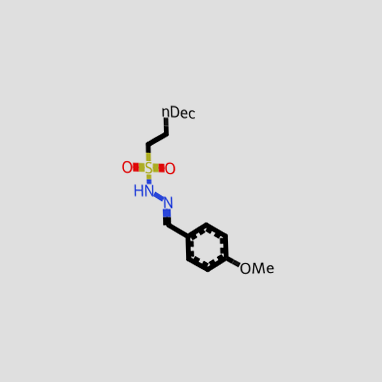 CCCCCCCCCCCCS(=O)(=O)NN=Cc1ccc(OC)cc1